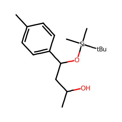 Cc1ccc(C(CC(C)O)O[Si](C)(C)C(C)(C)C)cc1